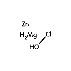 OCl.[MgH2].[Zn]